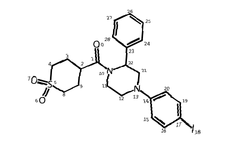 O=C(C1CCS(=O)(=O)CC1)N1CCN(c2ccc(I)cc2)CC1c1ccccc1